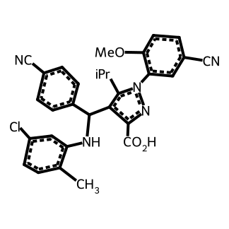 COc1ccc(C#N)cc1-n1nc(C(=O)O)c(C(Nc2cc(Cl)ccc2C)c2ccc(C#N)cc2)c1C(C)C